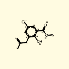 C=C(C)Cc1cc(Cl)cc(C(=O)OC)c1O